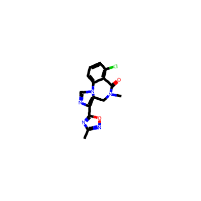 Cc1noc(-c2ncn3c2CN(C)C(=O)c2c(Cl)cccc2-3)n1